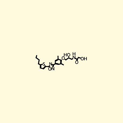 CCCCc1ccc(-c2nc(-c3cc(C)c(OC[C@@H](O)CNC(=O)CO)c(C)c3)no2)s1